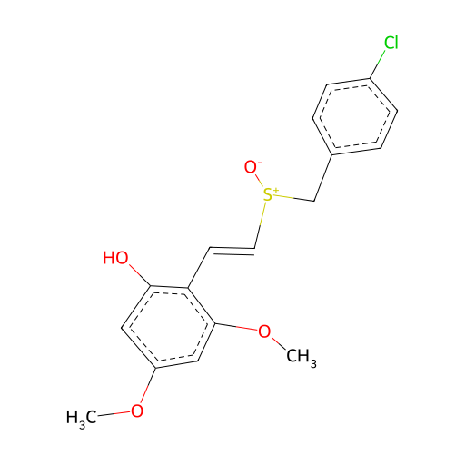 COc1cc(O)c(C=C[S+]([O-])Cc2ccc(Cl)cc2)c(OC)c1